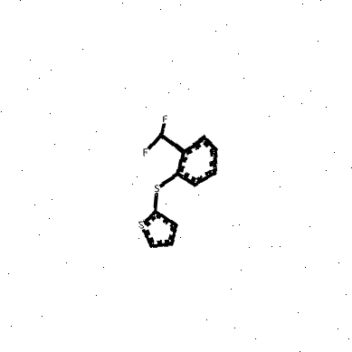 FC(F)c1ccccc1Sc1cccs1